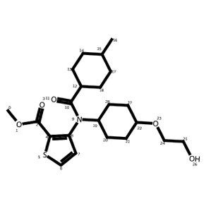 COC(=O)c1sccc1N(C(=O)C1CCC(C)CC1)C1CCC(OCCO)CC1